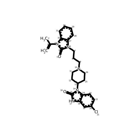 C=C(C)n1c(=O)n(CCCN2CCC(n3c(=O)[nH]c4cc(Cl)ccc43)CC2)c2ccccc21